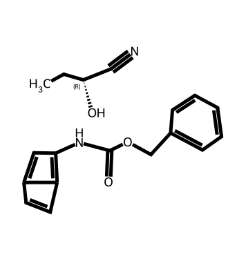 CC[C@@H](O)C#N.O=C(Nc1cc2ccc1-2)OCc1ccccc1